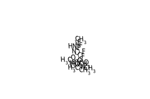 CC[C@H](Nc1cc(C(F)F)c(-c2sc(C(=O)N(C)C(C)C(C)(C)O)nc2C(=O)N2CCCC[C@@H]2C)cn1)C(F)(F)F